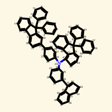 c1ccc(C2(c3ccccc3)c3ccccc3-c3ccc(-c4ccc(N(c5cccc(-c6cccc7ccccc67)c5)c5cccc6c5-c5ccccc5C6(c5ccccc5)c5ccccc5)cc4)cc32)cc1